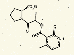 CCOC(=O)[C@@H]1CCCN1C(=O)[C@H](C)NC(=O)c1c(C)cc[nH]c1=O